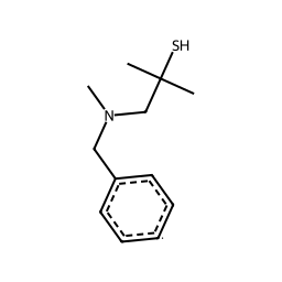 CN(Cc1cc[c]cc1)CC(C)(C)S